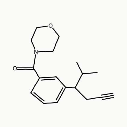 C#CCC(c1cccc(C(=O)N2CCOCC2)c1)C(C)C